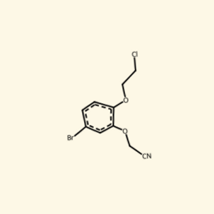 N#CCOc1cc(Br)ccc1OCCCl